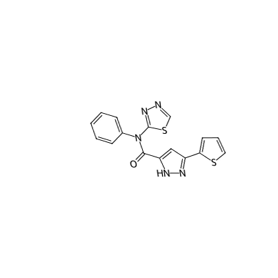 O=C(c1cc(-c2cccs2)n[nH]1)N(c1ccccc1)c1nncs1